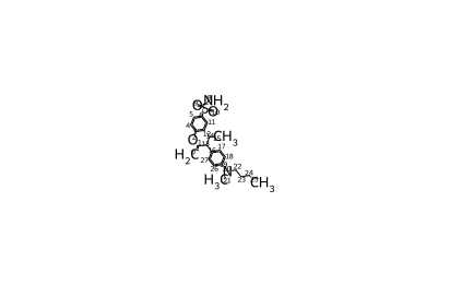 C=C(Oc1ccc(S(N)(=O)=O)cc1)C(CC)c1ccc(N(C)CCCC)cc1